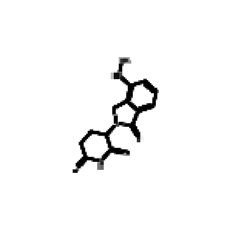 BNc1cccc2c1CN(C1CCC(=O)NC1=O)C2=O